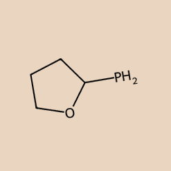 PC1CCCO1